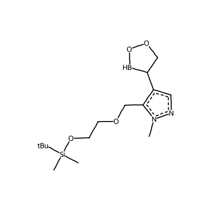 Cn1ncc(C2BOOC2)c1COCCO[Si](C)(C)C(C)(C)C